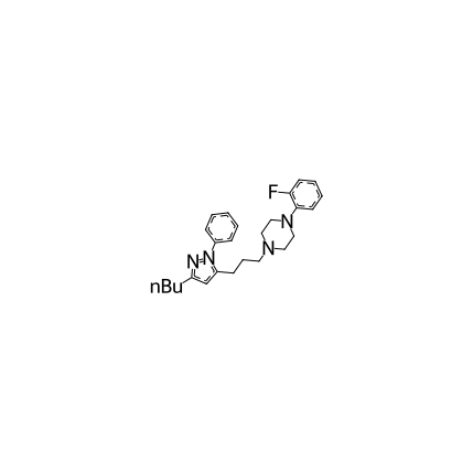 CCCCc1cc(CCCN2CCN(c3ccccc3F)CC2)n(-c2ccccc2)n1